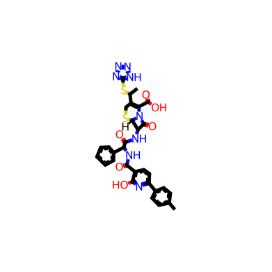 Cc1ccc(-c2ccc(C(=O)NC(C(=O)NC3C(=O)N4C(C(=O)O)=C(C(C)Sc5nnn[nH]5)CS[C@@H]34)c3ccccc3)c(O)n2)cc1